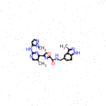 Cc1cnc(Nc2ccnn2C)nc1-c1coc(C(=O)NCc2ccc3[nH]nc(C)c3c2)n1